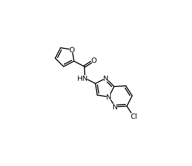 O=C(Nc1cn2nc(Cl)ccc2n1)c1ccco1